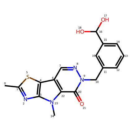 Cc1nc2c(s1)c1cnn(Cc3cccc(C(O)O)c3)c(=O)c1n2C